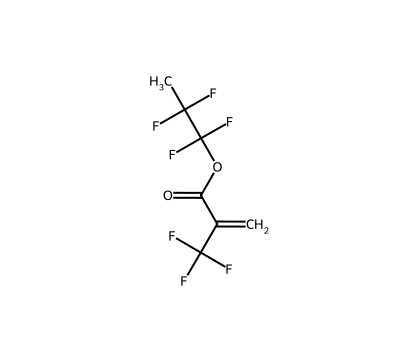 C=C(C(=O)OC(F)(F)C(C)(F)F)C(F)(F)F